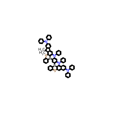 CC1(C)c2cc(N(c3ccccc3)c3ccccc3)ccc2-c2cc3c4c(c21)Sc1ccccc1B4c1cc2c(cc1N3c1ccccc1)N(c1ccccc1)c1c3c(cc4cc(N(c5ccccc5)c5ccccc5)ccc14)Sc1ccccc1B23